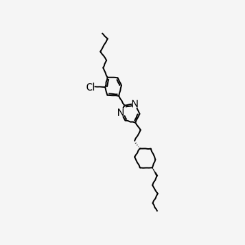 CCCCCc1ccc(-c2ncc(CC[C@H]3CC[C@H](CCCCC)CC3)cn2)cc1Cl